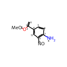 C=C(OOC)c1ccc(N)c(N=O)c1